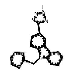 c1ccc(Cn2c3ccccc3c3cc(-c4nn[nH]n4)ccc32)cc1